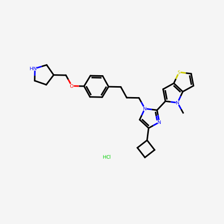 Cl.Cn1c(-c2nc(C3CCC3)cn2CCCc2ccc(OCC3CCNC3)cc2)cc2sccc21